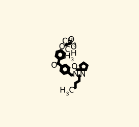 CCCCC1=NC2(CCCC2)C(=O)N1Cc1ccc(C(=O)c2ccc(OC(C)(C)C(=O)O)cc2)cc1